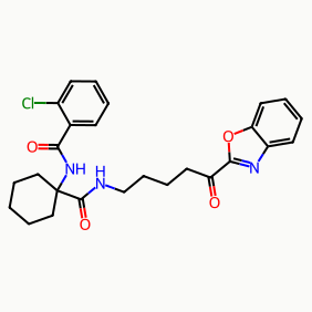 O=C(CCCCNC(=O)C1(NC(=O)c2ccccc2Cl)CCCCC1)c1nc2ccccc2o1